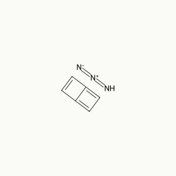 [N-]=[N+]=N.c1cc2ccc1-2